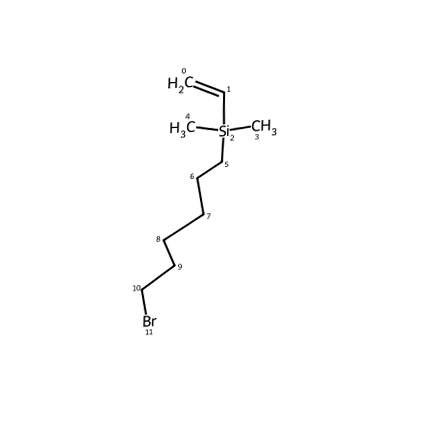 C=C[Si](C)(C)CCCCCCBr